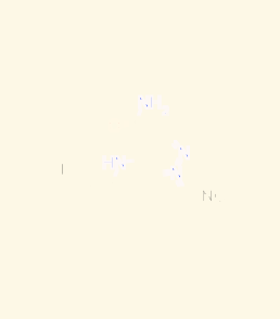 Cc1ccccc1Nc1c(C(N)=O)cnn2c(N=O)ccc12